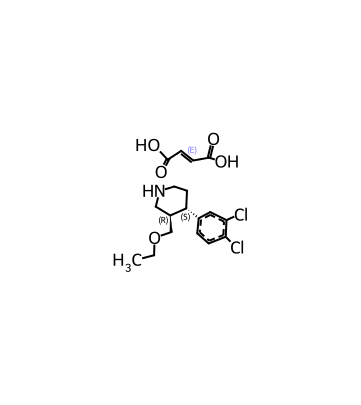 CCOC[C@H]1CNCC[C@@H]1c1ccc(Cl)c(Cl)c1.O=C(O)/C=C/C(=O)O